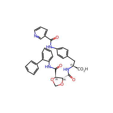 O=C(Nc1ccc(C[C@H](NC(=O)[C@@H]2OCO[C@H]2C(=O)Nc2ccccc2-c2ccccc2)C(=O)O)cc1)c1cccnc1